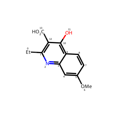 CCc1nc2cc(OC)ccc2c(O)c1C(=O)O